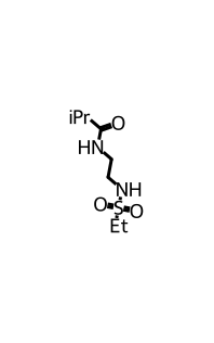 CCS(=O)(=O)NCCNC(=O)C(C)C